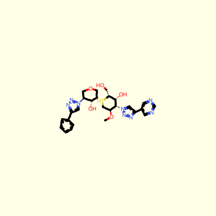 CO[C@H]1C[SH]([C@@H]2COC[C@H](n3cc(-c4ccccc4)nn3)[C@H]2O)[C@H](CO)[C@H](O)[C@@H]1n1cc(-c2cncnc2)nn1